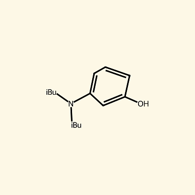 CCC(C)N(c1cccc(O)c1)C(C)CC